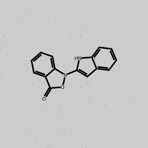 O=c1on(-c2cc3ccccc3[nH]2)c2ccccc12